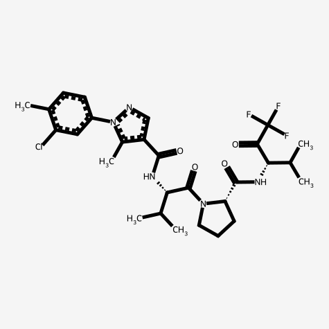 Cc1ccc(-n2ncc(C(=O)N[C@H](C(=O)N3CCC[C@H]3C(=O)N[C@H](C(=O)C(F)(F)F)C(C)C)C(C)C)c2C)cc1Cl